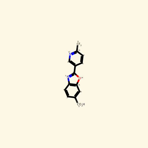 O=C(O)c1ccc2nc(-c3ccc(C(F)(F)F)nc3)oc2c1